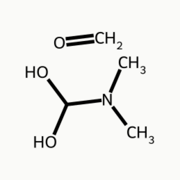 C=O.CN(C)C(O)O